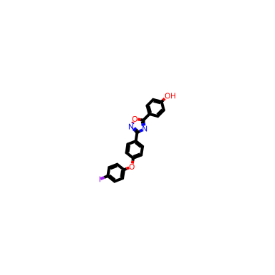 Oc1ccc(-c2nc(-c3ccc(Oc4ccc(I)cc4)cc3)no2)cc1